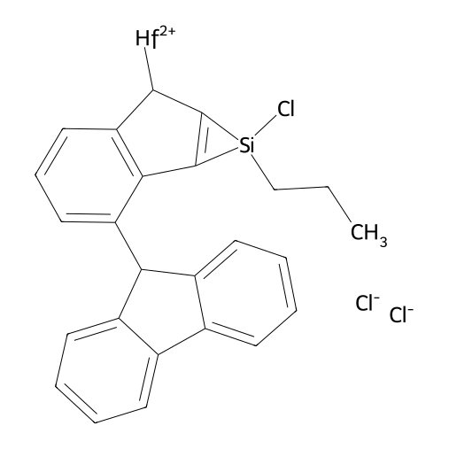 CCC[Si]1(Cl)C2=C1[CH]([Hf+2])c1cccc(C3c4ccccc4-c4ccccc43)c12.[Cl-].[Cl-]